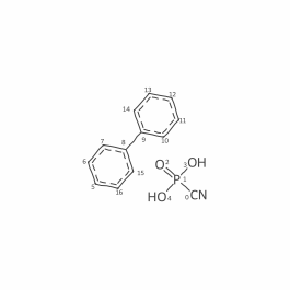 N#CP(=O)(O)O.c1ccc(-c2ccccc2)cc1